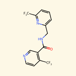 O=C(NCc1cccc(C(F)(F)F)n1)c1cnccc1C(F)(F)F